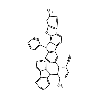 CC1C=Cc2c(oc3c2ccc2c4cc(C5=C(C#N)C=CC(C)C5n5c6ccccc6c6ccccc65)ccc4n(-c4c#cccc4)c23)C1